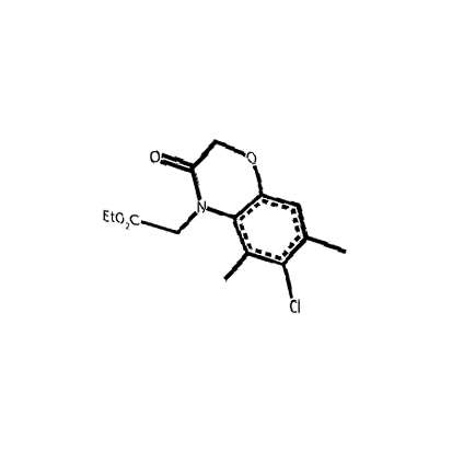 CCOC(=O)CN1C(=O)COc2cc(C)c(Cl)c(C)c21